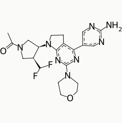 CC(=O)N1C[C@H](C(F)F)[C@H](N2CCc3c(-c4cnc(N)nc4)nc(N4CCOCC4)nc32)C1